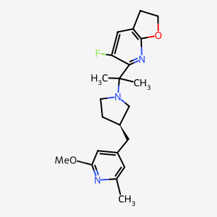 COc1cc(C[C@H]2CCN(C(C)(C)c3nc4c(cc3F)CCO4)C2)cc(C)n1